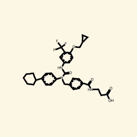 O=C(O)CCNC(=O)c1ccc(CN(C(=O)Nc2ccc(OCC3CC3)c(C(F)(F)F)c2)c2ccc(C3CCCCC3)cc2)cc1